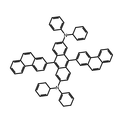 C1=CCC(N(C2=CCCC=C2)c2ccc3c(-c4ccc5c(ccc6ccccc65)c4)c4cc(N(c5ccccc5)C5C=CC=CC5)ccc4c(-c4ccc5c(ccc6ccccc65)c4)c3c2)C=C1